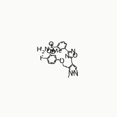 COc1cc(OCc2c(-c3nc(-c4cccc(S(N)(=O)=O)c4)no3)cnn2C)ccc1F